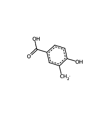 [CH2]c1cc(C(=O)O)ccc1O